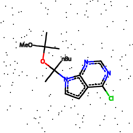 CCCCC(C)(OC(C)(C)OC)n1ccc2c(Cl)ncnc21